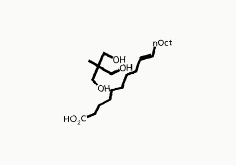 CC(CO)(CO)CO.CCCCCCCCC=CCCCCCCCC(=O)O